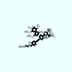 COCCNCc1ccc(C#Cc2ccc(C(=O)N[C@H](C(=O)NO)C(C)(C)N)cc2)cc1.Cc1ccc(S(=O)(=O)O)cc1.Cc1ccc(S(=O)(=O)O)cc1.O